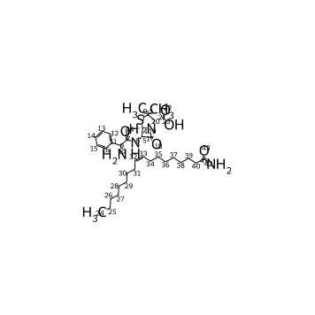 CC1(C)S[C@@H]2[C@H](NC(=O)C(N)c3ccccc3)C(=O)N2[C@H]1C(=O)O.CCCCCCCC/C=C\CCCCCCCC(N)=O